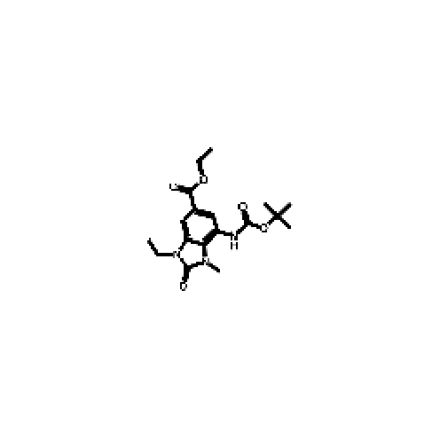 CCOC(=O)c1cc(NC(=O)OC(C)(C)C)c2c(c1)n(CC)c(=O)n2C